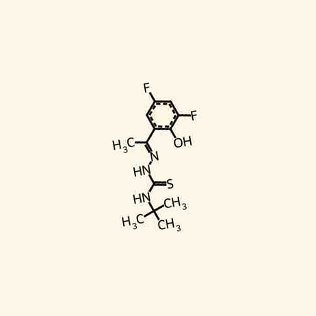 CC(=NNC(=S)NC(C)(C)C)c1cc(F)cc(F)c1O